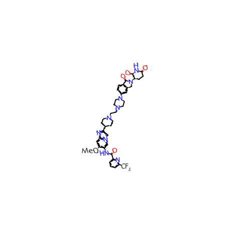 COc1cc2nc(C3CCN(CCN4CCN(c5ccc6c(c5)CN(C5CCC(=O)NC5=O)C6=O)CC4)CC3)cn2cc1NC(=O)c1cccc(C(F)(F)F)n1